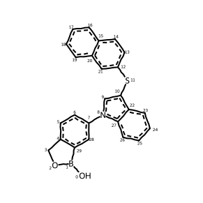 OB1OCc2ccc(-n3cc(Sc4ccc5ccccc5c4)c4ccccc43)cc21